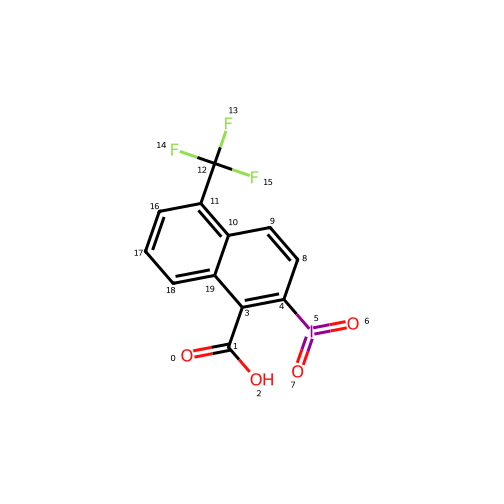 O=C(O)c1c(I(=O)=O)ccc2c(C(F)(F)F)cccc12